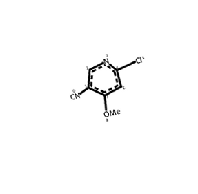 [C-]#[N+]c1cnc(Cl)cc1OC